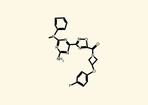 CN(c1ccccc1)c1nc(N)nc(-c2noc(C(=O)N3CC(Oc4ccc(F)cc4)C3)n2)n1